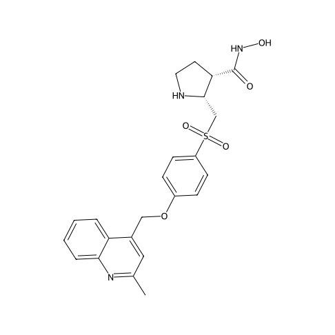 Cc1cc(COc2ccc(S(=O)(=O)C[C@@H]3NCC[C@@H]3C(=O)NO)cc2)c2ccccc2n1